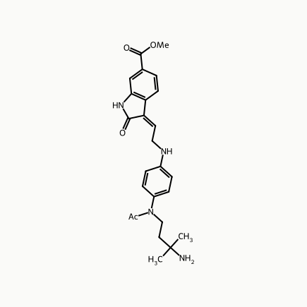 COC(=O)c1ccc2c(c1)NC(=O)C2=CCNc1ccc(N(CCC(C)(C)N)C(C)=O)cc1